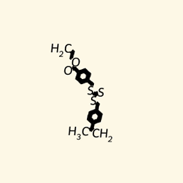 C=CCOC(=O)c1ccc(CSC(=S)SCc2ccc(C(=C)C)cc2)cc1